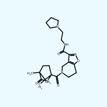 CC12CCC(C(=O)N3CCc4onc(C(=O)NCCN5CCCC5)c4C3)(OC1=O)C2(C)C